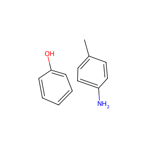 Cc1ccc(N)cc1.Oc1ccccc1